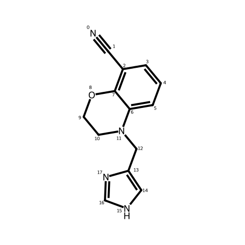 N#Cc1cccc2c1OCCN2Cc1c[nH]cn1